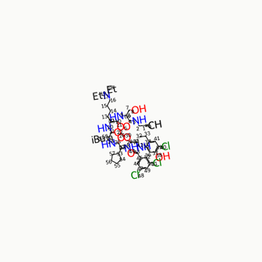 C#CCNC(=O)[C@H](CO)NC(=O)[C@H](CCCCN(CC)CC)NC(=O)[C@@H](NC(=O)[C@@H](NC(=O)[C@H](CCc1ccc(O)c(Cl)c1)NC(=O)c1cc(Cl)cc(Cl)c1)C1CCCC1)[C@@H](C)CC